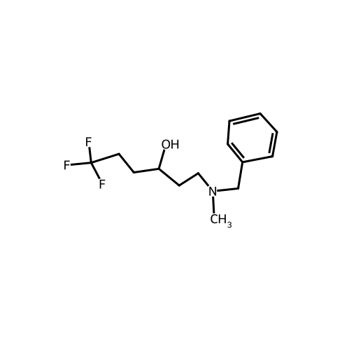 CN(CCC(O)CCC(F)(F)F)Cc1ccccc1